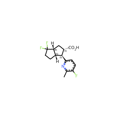 Cc1nc([C@H]2[C@@H]3CCC(F)(F)[C@@H]3C[C@@H]2C(=O)O)ccc1F